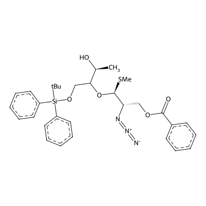 CS[C@H](OC(CO[Si](c1ccccc1)(c1ccccc1)C(C)(C)C)[C@H](C)O)[C@H](COC(=O)c1ccccc1)N=[N+]=[N-]